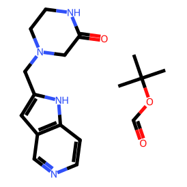 CC(C)(C)OC=O.O=C1CN(Cc2cc3cnccc3[nH]2)CCN1